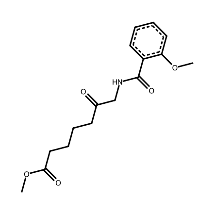 COC(=O)CCCCC(=O)CNC(=O)c1ccccc1OC